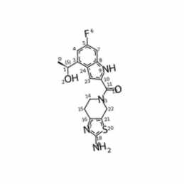 C[C@H](O)c1cc(F)cc2[nH]c(C(=O)N3CCc4nc(N)sc4C3)cc12